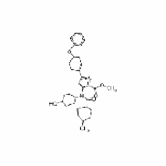 COC(=O)c1sc(C2=CCC(Oc3ccccc3)CC2)cc1N(C(=O)C1CCC(C)CC1)C1CCC(O)CC1